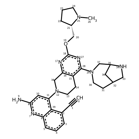 C#Cc1cccc2nc(N)cc(N3CCc4c(nc(OC[C@@H]5CCCN5C)nc4N4CCC5CNC(C5)C4)C3)c12